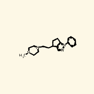 CN1CCN(CCC2CCc3c2cnn3-c2ccccc2)CC1